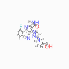 N#Cc1cccc(F)c1-c1cc(-n2ccc(N3CCCC(CO)C3)n2)c2c(n1)CNC2=O